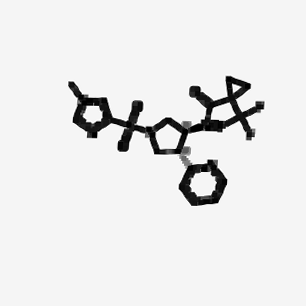 Cn1cnc(S(=O)(=O)N2C[C@@H](NC(=O)C3(C(F)(F)F)CC3)[C@H](c3ccccn3)C2)c1